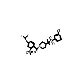 CC(C)(C1CCN(C(=O)c2ccc(OC(F)F)cc2S(C)(=O)=O)CC1)S(=O)(=O)c1cccc(Cl)c1